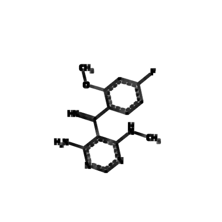 CNc1ncnc(N)c1C(=N)c1ccc(F)cc1OC